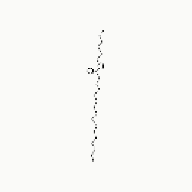 CCCCCCCCCCCCCCCC(=O)OCCCCCC